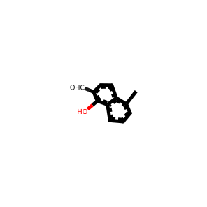 Cc1cccc2c(O)c(C=O)ccc12